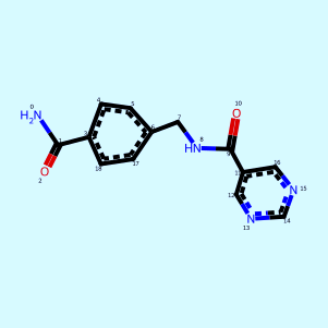 NC(=O)c1ccc(CNC(=O)c2cncnc2)cc1